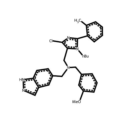 CCCCn1c(-c2ccccc2C)nc(Cl)c1CN(Cc1cccc(OC)c1)Cc1ccc2[nH]ncc2c1